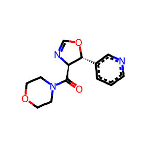 O=C([C@H]1N=CO[C@@H]1c1cccnc1)N1CCOCC1